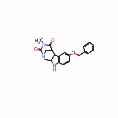 CN1C(=O)C2CN(CC3Nc4ccc(OCc5ccccc5)cc4C32)C1=O